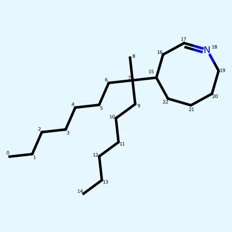 CCCCCCCC(C)(CCCCCC)C1C/C=N\CCCC1